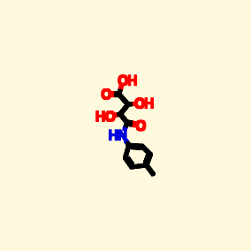 Cc1ccc(NC(=O)C(O)C(O)C(=O)O)cc1